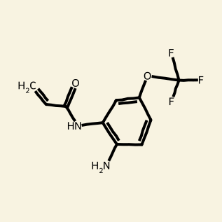 C=CC(=O)Nc1cc(OC(F)(F)F)ccc1N